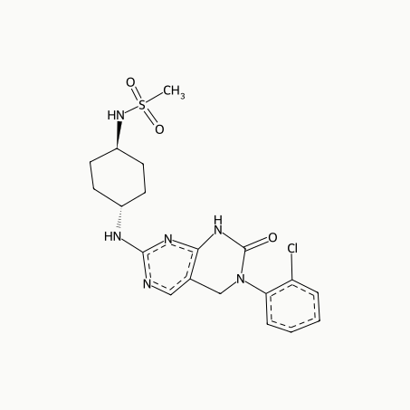 CS(=O)(=O)N[C@H]1CC[C@H](Nc2ncc3c(n2)NC(=O)N(c2ccccc2Cl)C3)CC1